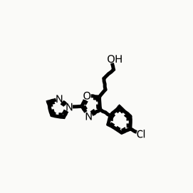 OCCCc1oc(-n2cccn2)nc1-c1ccc(Cl)cc1